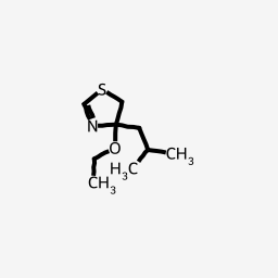 CCOC1(CC(C)C)CSC=N1